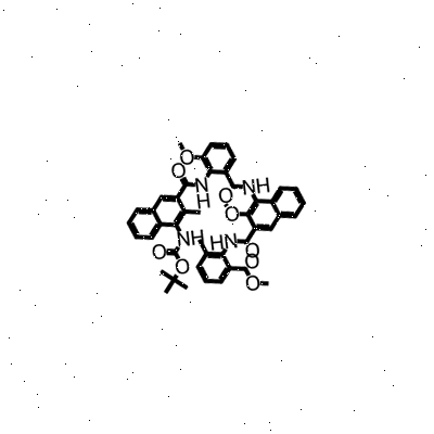 COC(=O)c1cccc(C)c1NC(=O)c1cc2ccccc2c(NC(=O)c2cccc(OC)c2NC(=O)c2cc3ccccc3c(NC(=O)OC(C)(C)C)c2C)c1OC